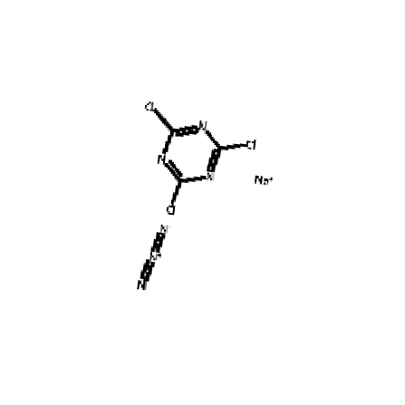 Clc1nc(Cl)nc(Cl)n1.[N-]=[N+]=[N-].[Na+]